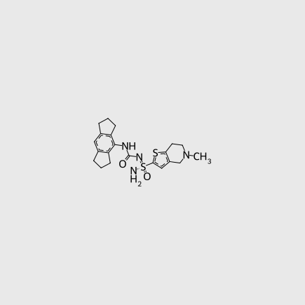 CN1CCc2sc([S@@](N)(=O)=NC(=O)Nc3c4c(cc5c3CCC5)CCC4)cc2C1